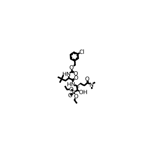 CCOP(=O)(OCC)C(O)[C@H](CCC(=O)N(C)C)NC(=O)C(CC(C)(C)C)NC(=O)OCc1cccc(Cl)c1